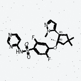 Cn1nccc1[C@H]1CC(C)(C)C[C@@]1(C)Oc1cc(F)c(S(=O)(=O)Nc2ccncn2)cc1F